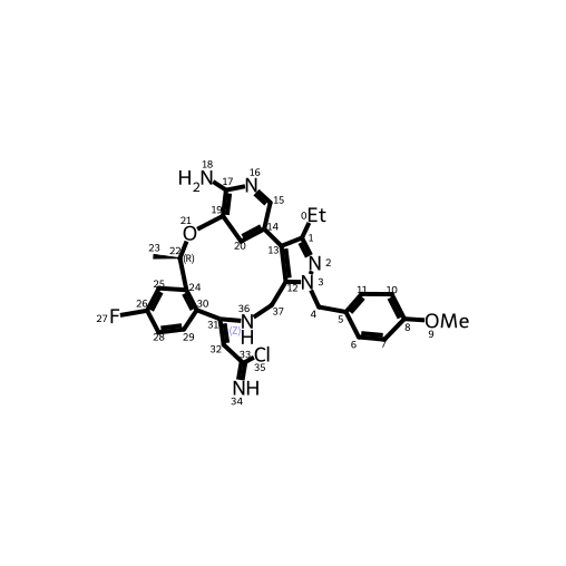 CCc1nn(Cc2ccc(OC)cc2)c2c1-c1cnc(N)c(c1)O[C@H](C)c1cc(F)ccc1/C(=C/C(=N)Cl)NC2